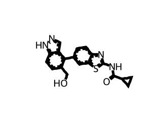 O=C(Nc1nc2ccc(-c3c(CO)ccc4[nH]ncc34)cc2s1)C1CC1